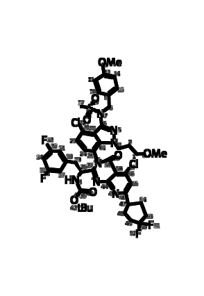 COCCCn1nc(N(Cc2ccc(OC)cc2)S(C)(=O)=O)c2c(Cl)ccc(-n3c([C@H](Cc4cc(F)cc(F)c4)NC(=O)OC(C)(C)C)nc4nc(C5CCC(F)(F)CC5)cc(Cl)c4c3=O)c21